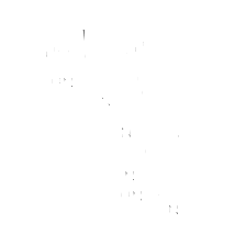 CC(C)(O)[C@@](C)(O)[C@@H]1CN(c2nc(-c3n[nH]c4ncccc34)c(F)cc2Cl)CCN1